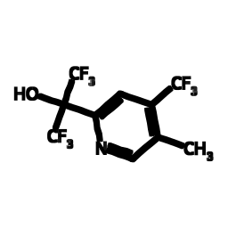 Cc1cnc(C(O)(C(F)(F)F)C(F)(F)F)cc1C(F)(F)F